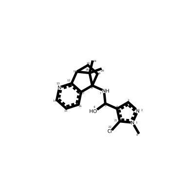 Cn1ncc(C(O)NC23CCC(c4ncccc42)C3(C)C)c1Cl